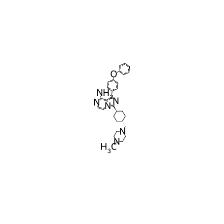 CN1CCN(C[C@H]2CC[C@H](c3nc(-c4ccc(Oc5ccccc5)cc4)c4c(N)nccn43)CC2)CC1